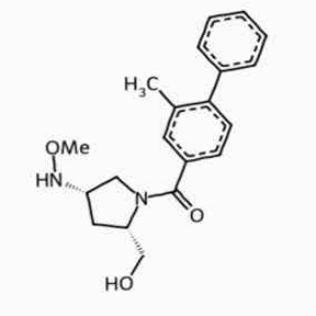 CON[C@H]1C[C@@H](CO)N(C(=O)c2ccc(-c3ccccc3)c(C)c2)C1